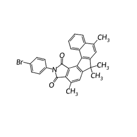 Cc1cc2c(c3c1C(=O)N(c1ccc(Br)cc1)C3=O)-c1c(cc(C)c3ccccc13)C2(C)C